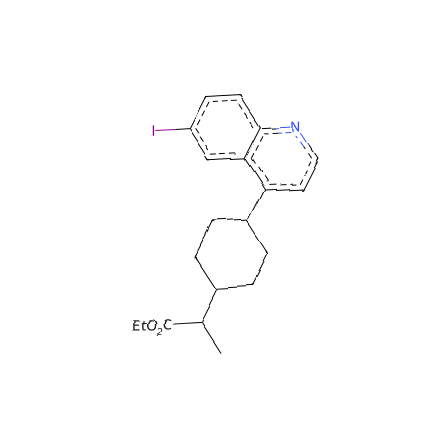 CCOC(=O)C(C)C1CCC(c2ccnc3ccc(I)cc23)CC1